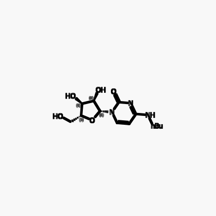 CCCCNc1ccn([C@@H]2O[C@H](CO)[C@@H](O)[C@H]2O)c(=O)n1